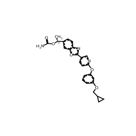 C[C@H](OC(N)=O)c1ccc2nc(-c3ccc(Oc4cccc(OCC5CC5)c4)nc3)oc2c1